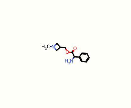 CN1CC(COC(=O)C(N)c2ccccc2)C1